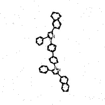 c1ccc(-c2cc(-c3ccc4ccccc4c3)nn2-c2ccc(-c3ccc(-n4nc(-c5ccc6ccccc6c5)cc4-c4ccccc4)cc3)cc2)cc1